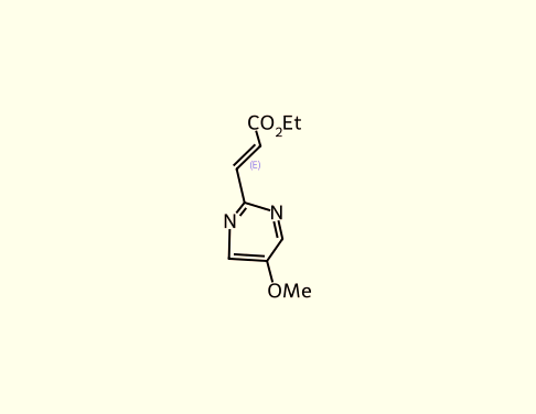 CCOC(=O)/C=C/c1ncc(OC)cn1